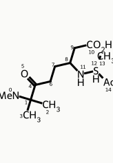 CNC(C)(C)C(=O)CCC(CC(=O)O)N[SH](C)C(C)=O